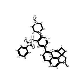 CN1C[C@@]2(CCC2=O)c2c1cnc1ccc(-c3cnc(N4CC[S+]([O-])CC4)c(NS(=O)(=O)c4ccccc4)c3)cc21